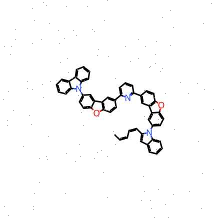 C/C=C\C=C/c1cc2ccccc2n1-c1ccc2oc3ccc(-c4cccc(-c5ccc6oc7ccc(-n8c9ccccc9c9ccccc98)cc7c6c5)n4)cc3c2c1